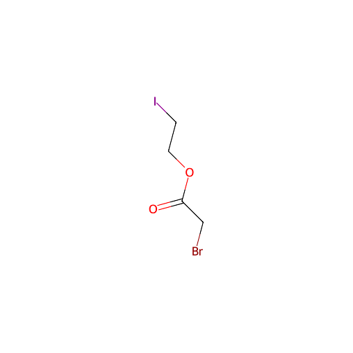 O=C(CBr)OCCI